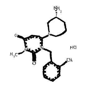 Cl.Cn1c(=O)cc(N2CCC[C@@H](N)C2)n(Cc2ccccc2C#N)c1=O